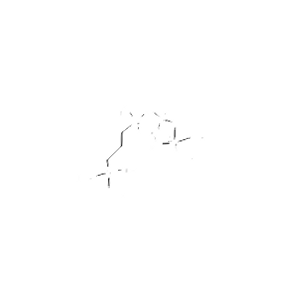 CCCC[N+](C)(CCCC)CCC[Si](C)(C)O[Si](C)(C)O[Si](C)(C)CCCC